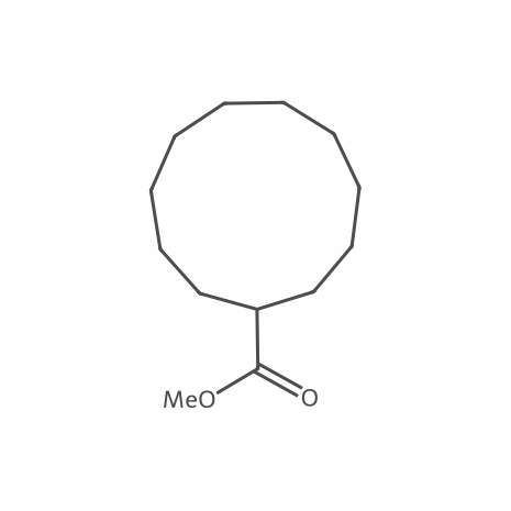 COC(=O)C1CCCCCCCCCC1